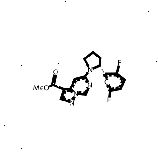 COC(=O)c1cnn2cnc(N3CCC[C@@H]3c3cc(F)ccc3F)cc12